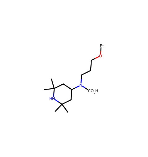 CCOCCCN(C(=O)O)C1CC(C)(C)NC(C)(C)C1